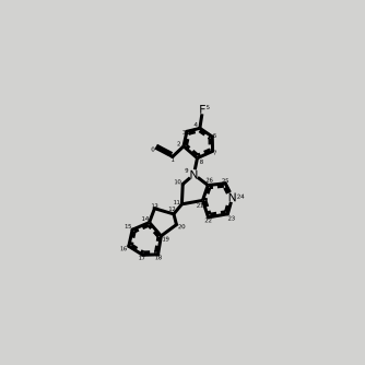 C=Cc1cc(F)ccc1N1CC(C2Cc3ccccc3C2)c2ccncc21